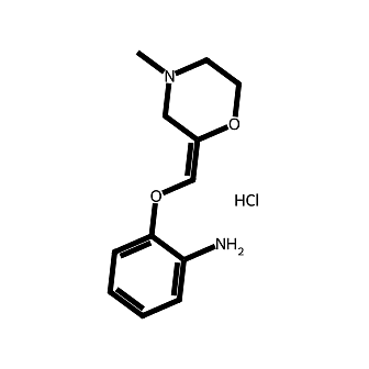 CN1CCOC(=COc2ccccc2N)C1.Cl